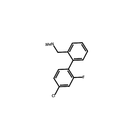 CNCc1ccccc1-c1ccc(Cl)cc1F